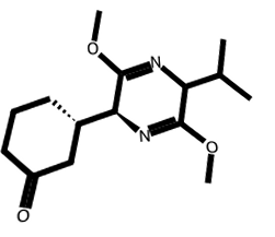 COC1=N[C@@H]([C@H]2CCCC(=O)C2)C(OC)=NC1C(C)C